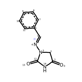 O=C1CN(/N=C/c2ccccc2)C(=O)N1